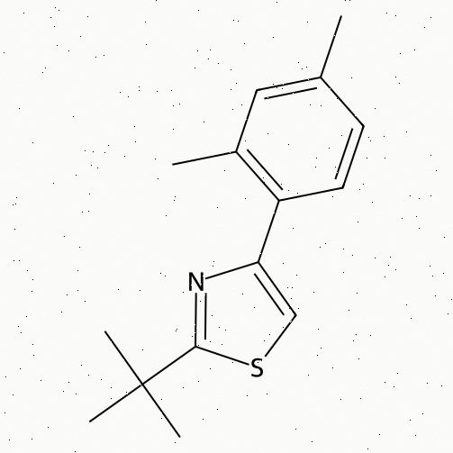 Cc1ccc(-c2csc(C(C)(C)C)n2)c(C)c1